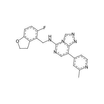 Cc1cc(-c2cnc(NCc3c(F)ccc4c3CCO4)n3cnnc23)ccn1